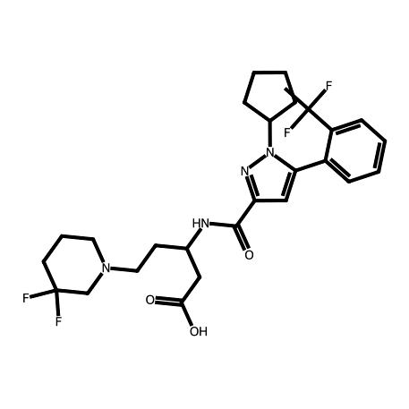 CC(F)(F)c1ccccc1-c1cc(C(=O)NC(CCN2CCCC(F)(F)C2)CC(=O)O)nn1C1CCCC1